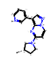 C[C@H]1CCN(c2ccn3ncc(-c4cccnc4)c3n2)C1